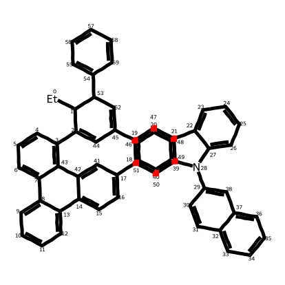 CCC1C(c2cccc3c4ccccc4c4ccc(-c5ccc6c7ccccc7n(-c7ccc8ccccc8c7)c6c5)cc4c23)=CC(c2ccccc2)=CC1c1ccccc1